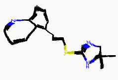 CC1(C)CN=C(SCCc2cccc3ncccc23)N1